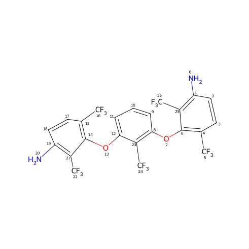 Nc1ccc(C(F)(F)F)c(Oc2cccc(Oc3c(C(F)(F)F)ccc(N)c3C(F)(F)F)c2C(F)(F)F)c1C(F)(F)F